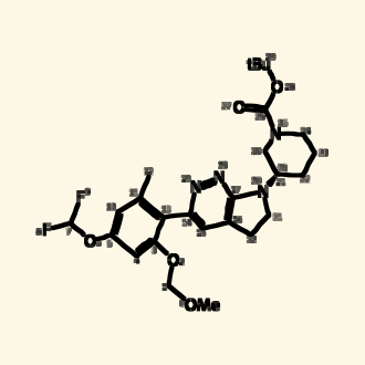 COCOc1cc(OC(F)F)cc(C)c1-c1cc2c(nn1)N([C@@H]1CCCN(C(=O)OC(C)(C)C)C1)CC2